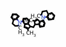 CC1=Cc2c(cccc2N2c3ccccc3CCC2C)C1CC1C(C)=Cc2c1cccc2N1c2ccccc2CCC1C